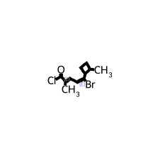 C/C(=C\C=C(\Br)C1CCC1C)C(=O)Cl